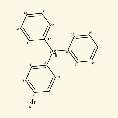 [Rh].c1ccc([As](c2ccccc2)c2ccccc2)cc1